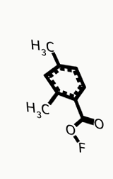 Cc1ccc(C(=O)OF)c(C)c1